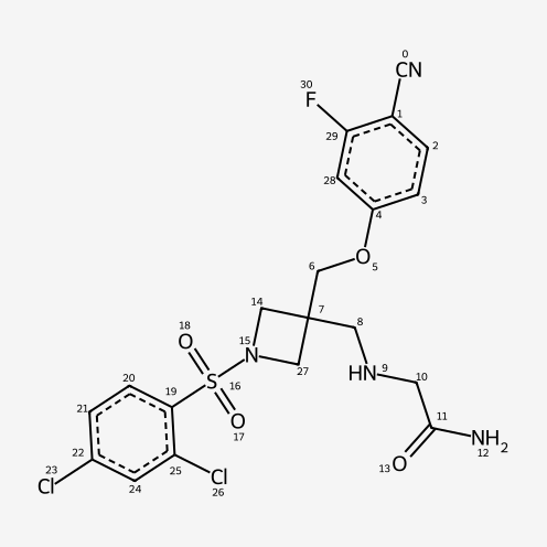 N#Cc1ccc(OCC2(CNCC(N)=O)CN(S(=O)(=O)c3ccc(Cl)cc3Cl)C2)cc1F